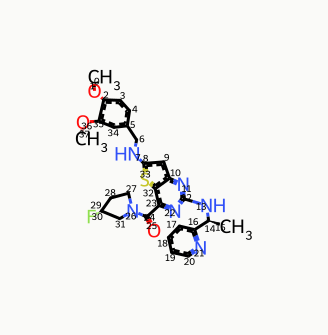 COc1ccc(CNc2cc3nc(N[C@@H](C)c4ccccn4)nc(C(=O)N4CC[C@@H](F)C4)c3s2)cc1OC